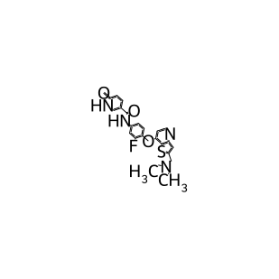 CCN(CC)Cc1cc2nccc(Oc3ccc(NC(=O)c4ccc(=O)[nH]c4)cc3F)c2s1